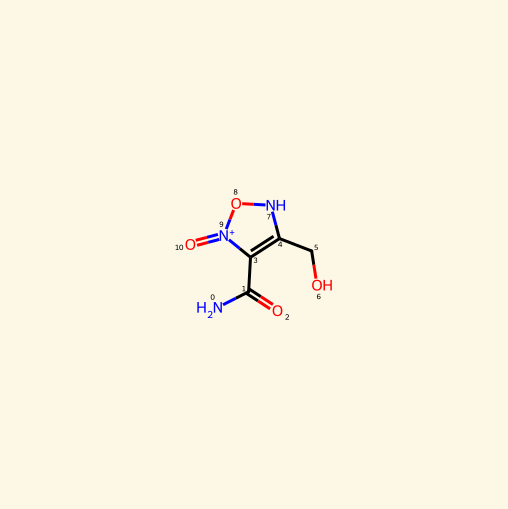 NC(=O)c1c(CO)[nH]o[n+]1=O